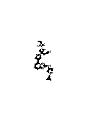 CCS(=O)(=O)N1CC(CC#N)(n2cc(-c3cccc4nc(Nc5cnn(C6CC6)c5)nn34)cn2)C1